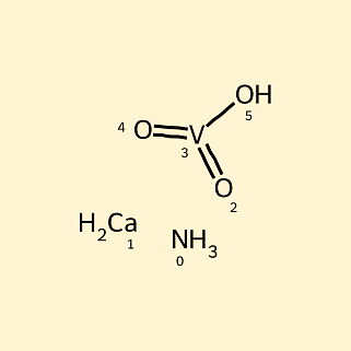 N.[CaH2].[O]=[V](=[O])[OH]